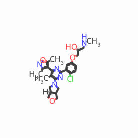 CNC[C@@H](O)COc1ccc(Cl)c(-c2nc(-c3c(C)noc3C)c(C)c(N3CC4COC[C@H]4C3)n2)c1